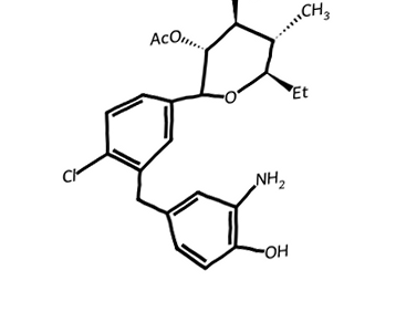 CC[C@H]1OC(c2ccc(Cl)c(Cc3ccc(O)c(N)c3)c2)[C@H](OC(C)=O)[C@@H](C)[C@@H]1C